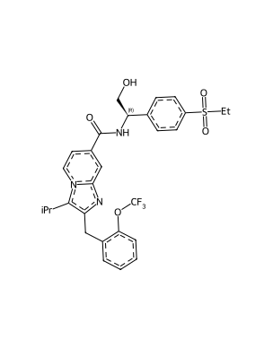 CCS(=O)(=O)c1ccc([C@H](CO)NC(=O)c2ccn3c(C(C)C)c(Cc4ccccc4OC(F)(F)F)nc3c2)cc1